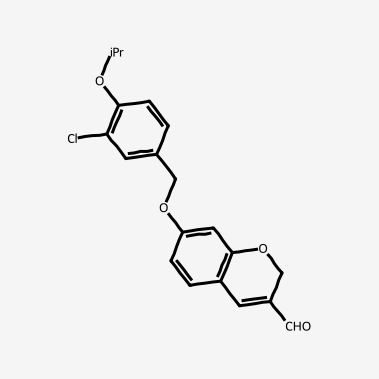 CC(C)Oc1ccc(COc2ccc3c(c2)OCC(C=O)=C3)cc1Cl